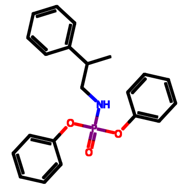 CC(CNP(=O)(Oc1ccccc1)Oc1ccccc1)c1ccccc1